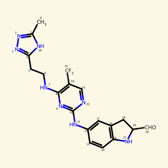 Cc1nnc(CCNc2nc(Nc3ccc4c(c3)CC(C=O)N4)ncc2C(F)(F)F)[nH]1